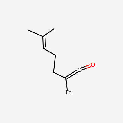 CCC(=C=O)CCC=C(C)C